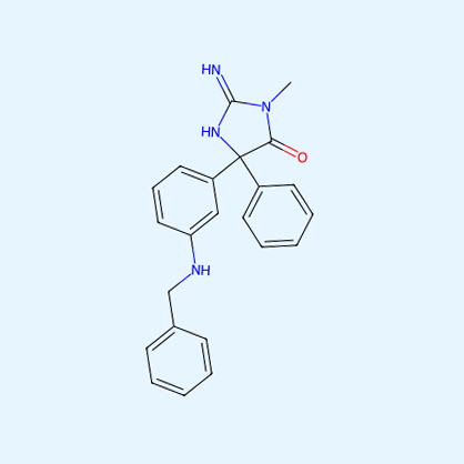 CN1C(=N)NC(c2ccccc2)(c2cccc(NCc3ccccc3)c2)C1=O